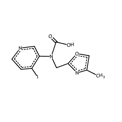 Cc1coc(CN(C(=O)O)c2cnccc2I)n1